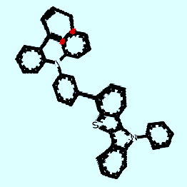 C1=CC(c2ccccc2N(c2ccccc2)c2cccc(-c3cccc4c3sc3c5ccccc5n(-c5ccccc5)c43)c2)=CCC1